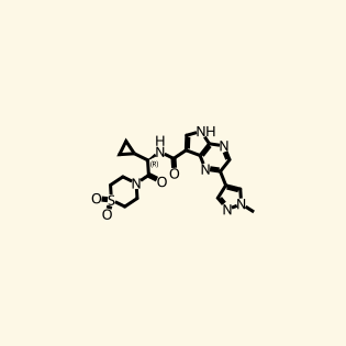 Cn1cc(-c2cnc3[nH]cc(C(=O)N[C@@H](C(=O)N4CCS(=O)(=O)CC4)C4CC4)c3n2)cn1